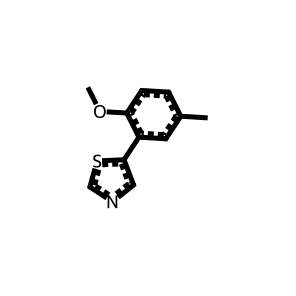 COc1ccc(C)cc1-c1cncs1